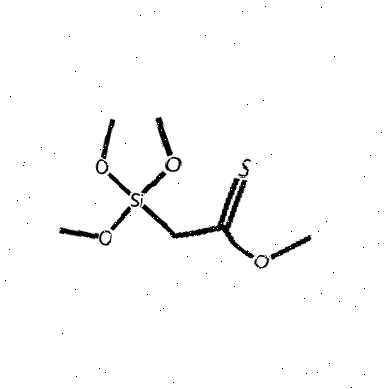 COC(=S)C[Si](OC)(OC)OC